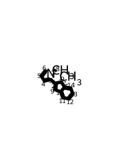 C[C]1C(c2cccn2C)=Cc2ccccc21